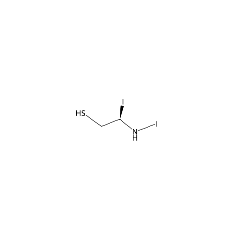 SC[C@@H](I)NI